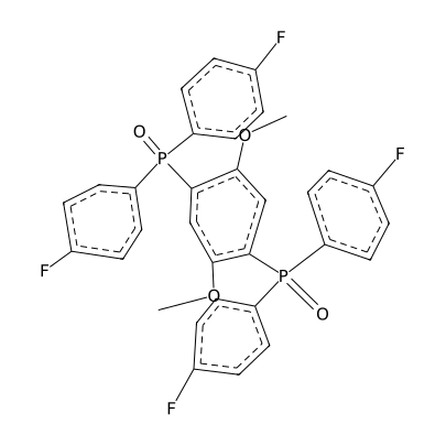 COc1cc(P(=O)(c2ccc(F)cc2)c2ccc(F)cc2)c(OC)cc1P(=O)(c1ccc(F)cc1)c1ccc(F)cc1